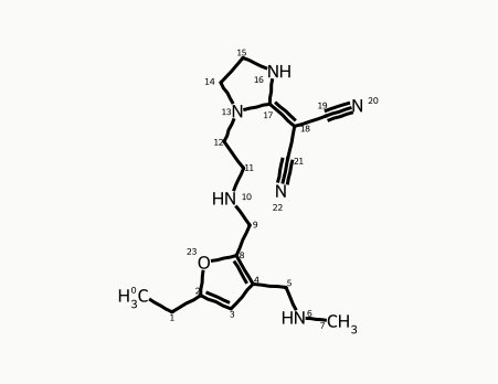 CCc1cc(CNC)c(CNCCN2CCNC2=C(C#N)C#N)o1